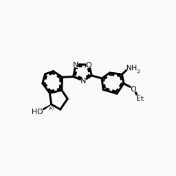 CCOc1ccc(-c2nc(-c3cccc4c3CC[C@H]4O)no2)cc1N